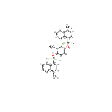 Cc1cc(OC(F)(F)c2ccc(C)c3ccccc23)ccc1OC(F)(F)c1ccc(C)c2ccccc12